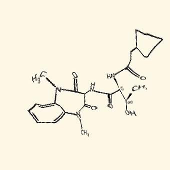 C[C@@H](O)[C@H](NC(=O)CC1CCCC1)C(=O)NC1C(=O)N(C)c2ccccc2N(C)C1=O